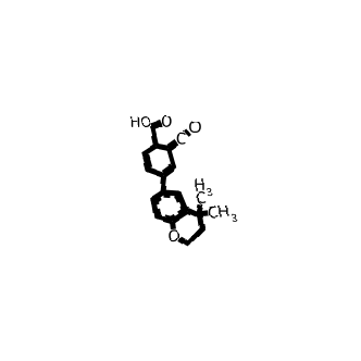 CC1(C)CCOc2ccc(C3=CC(=C=O)C(C(=O)O)C=C3)cc21